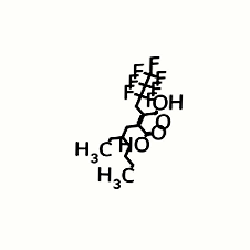 CCCCC(CC)C/C(C(=O)O)=C(\CC(F)(F)C(F)(F)C(F)(F)F)C(=O)O